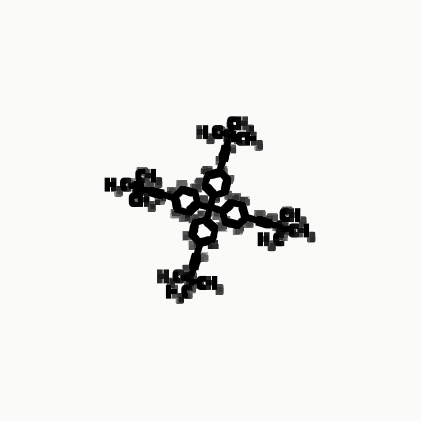 C[Si](C)(C)C#Cc1ccc(C(c2ccc(C#C[Si](C)(C)C)cc2)(c2ccc(C#C[Si](C)(C)C)cc2)c2ccc(C#C[Si](C)(C)C)cc2)cc1